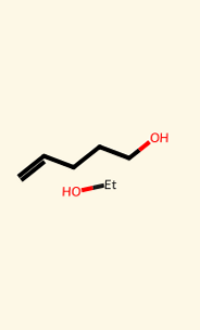 C=CCCCO.CCO